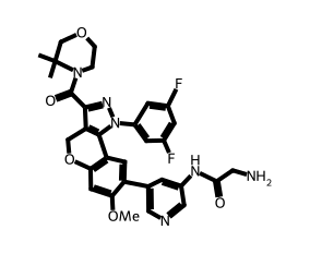 COc1cc2c(cc1-c1cncc(NC(=O)CN)c1)-c1c(c(C(=O)N3CCOCC3(C)C)nn1-c1cc(F)cc(F)c1)CO2